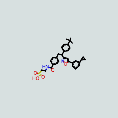 CC(C)(C)c1ccc(C(Cc2ccc(C(=O)NCCS(=O)(=O)O)cc2)c2cc(-c3cccc(C4CC4)c3)on2)cc1